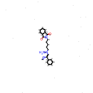 C=N/C(=C\N(N)CCCCCN1C(=O)c2ccccc2C1=O)c1ccccc1